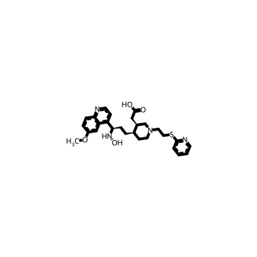 COc1ccc2nccc([C@@H](CC[C@@H]3CCN(CCSc4ccccn4)C[C@@H]3CC(=O)O)NO)c2c1